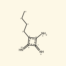 CCCCc1c(N)c(=N)c1=N